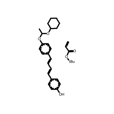 C=CC(=O)OC(C)(C)C.CC(Oc1ccc(C=CC=Cc2ccc(O)cc2)cc1)OC1CCCCC1